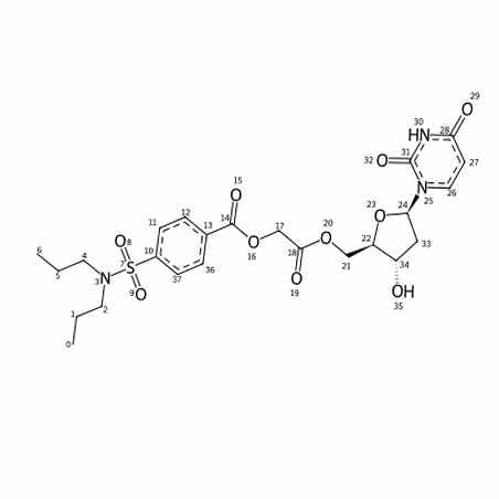 CCCN(CCC)S(=O)(=O)c1ccc(C(=O)OCC(=O)OC[C@H]2O[C@@H](n3ccc(=O)[nH]c3=O)C[C@@H]2O)cc1